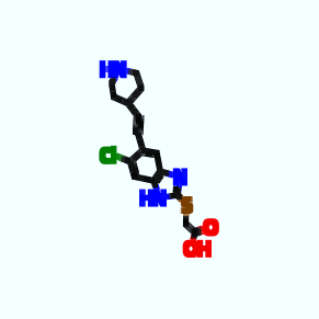 O=C(O)CSc1nc2cc(C#CC3CCNCC3)c(Cl)cc2[nH]1